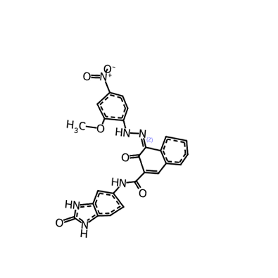 COc1cc([N+](=O)[O-])ccc1N/N=C1\C(=O)C(C(=O)Nc2ccc3[nH]c(=O)[nH]c3c2)=Cc2ccccc21